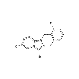 CCc1nn(Cc2c(F)cccc2F)c2cc[n+]([O-])cc12